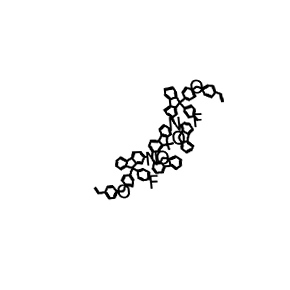 C=Cc1ccc(Oc2ccc(C3(c4ccc(F)cc4)c4ccccc4-c4ccc(N(c5ccc6c(c5)C(C)(C)c5cc(N(c7ccc8c(c7)C(c7ccc(F)cc7)(c7ccc(Oc9ccc(C=C)cc9)cc7)c7ccccc7-8)c7cccc8c7oc7ccccc78)ccc5-6)c5cccc6c5oc5ccccc56)cc43)cc2)cc1